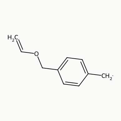 [CH2]c1ccc(COC=C)cc1